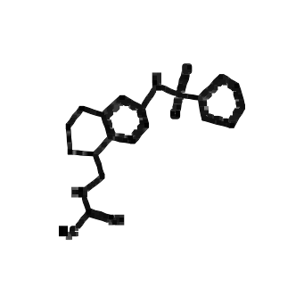 CC(=N)NCC1CCCc2cc(NS(=O)(=O)c3ccccc3)ccc21